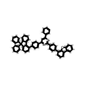 c1ccc(-c2cc(-c3ccc(-c4cccc5c4-c4ccccc4C5(c4ccccc4)c4ccccc4)cc3)nc(-c3ccc(-c4cccc5c4oc4ccccc45)cc3)n2)cc1